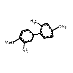 COc1ccc(-c2ccc(OC)c(N)c2)c(N)c1